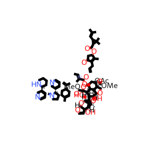 C/C=C(\C)C(=O)O[C@H]1C[C@@H](OC(C)=O)[C@@]2(C(=O)OC)CO[C@H]3[C@@H](O)[C@@](C)([C@]45O[C@@]4(C)[C@H]4C[C@@H]5O[C@@H]5OC=C[C@@]54O)[C@H]4[C@]1(CO[C@]4(O)C(=O)OC)[C@@H]32.C=C(C)[C@H]1CC=C(C)CC1.C=CCC1=C(C)C(OC(=O)C2C(C=C(C)C)C2(C)C)CC1=O.CN1CCC[C@H]1c1cccnc1.c1cncc([C@@H]2CCCCN2)c1